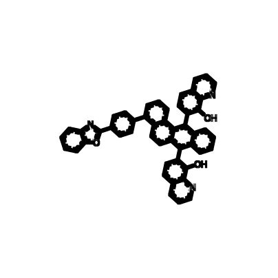 Oc1c(-c2c3ccccc3c(-c3ccc4cccnc4c3O)c3c2ccc2c(-c4ccc(-c5nc6ccccc6o5)cc4)cccc23)ccc2cccnc12